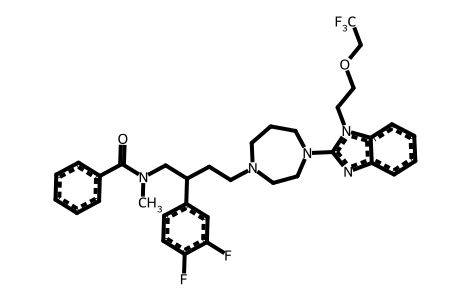 CN(CC(CCN1CCCN(c2nc3ccccc3n2CCOCC(F)(F)F)CC1)c1ccc(F)c(F)c1)C(=O)c1ccccc1